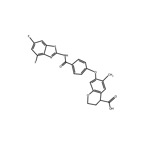 Cc1cc2c(cc1Oc1ccc(C(=O)Nc3nc4c(F)cc(F)cc4s3)cc1)OCCC2C(=O)O